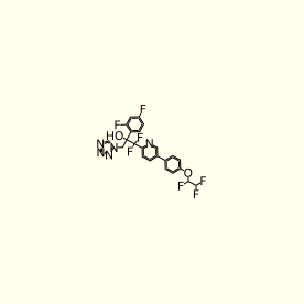 OC(Cn1cnnn1)(c1ccc(F)cc1F)C(F)(F)c1ccc(-c2ccc(OC(F)C(F)F)cc2)cn1